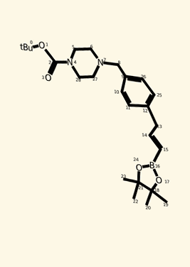 CC(C)(C)OC(=O)N1CCN(Cc2ccc(C/C=C/B3OC(C)(C)C(C)(C)O3)cc2)CC1